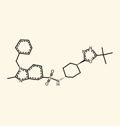 Cc1nc2cc(S(=O)(=O)N[C@H]3CC[C@H](c4nnc(C(C)(C)C)o4)CC3)ccc2n1Cc1ccccc1